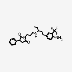 CCC(CCc1ccc(N)c(C(F)(F)F)c1)NCCCN1C(=O)CC(c2ccccc2)C1=O